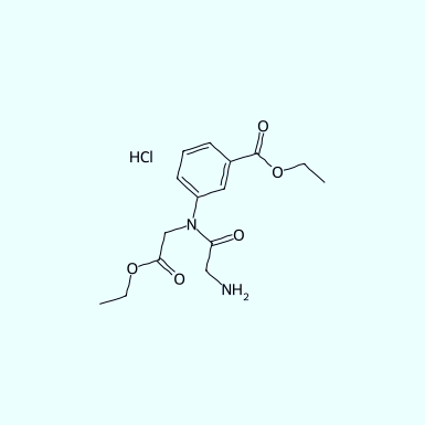 CCOC(=O)CN(C(=O)CN)c1cccc(C(=O)OCC)c1.Cl